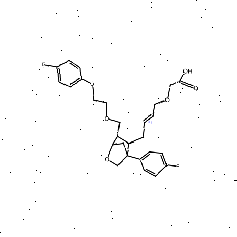 O=C(O)COC/C=C/CC1C(COCCOc2ccc(F)cc2)C2CC1(c1ccc(F)cc1)CO2